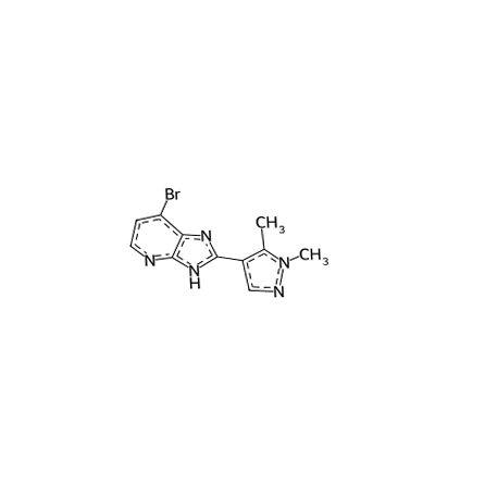 Cc1c(-c2nc3c(Br)ccnc3[nH]2)cnn1C